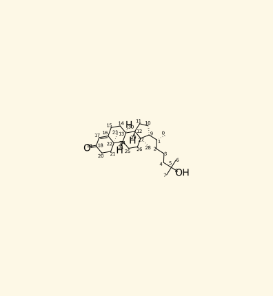 C[C@H](CCCC(C)(C)O)[C@H]1CC[C@H]2[C@@H]3CCC4=CC(=O)CC[C@]4(C)[C@H]3CC[C@]12C